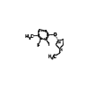 CC[C@@H]1CC[C@@H](Oc2ccc(C)c(F)c2I)C1